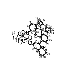 CC1(C)OB(c2cccc3c2Oc2c(-c4cccc5cccnc45)cccc2C32c3ccccc3-c3ccccc32)OC1(C)C